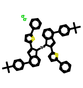 CC(C)(C)c1ccc(-c2cccc3c2C=C(c2ccc(-c4ccccc4)s2)[CH]3[Ti+2][CH]2C(c3ccc(-c4ccccc4)s3)=Cc3c(-c4ccc(C(C)(C)C)cc4)cccc32)cc1.[Cl-].[Cl-]